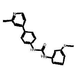 CSc1cccc(NC(=O)Nc2ccc(-c3ccnc(C)c3)cc2)c1